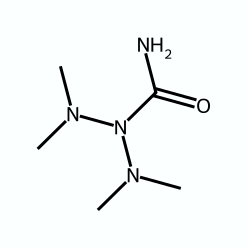 CN(C)N(C(N)=O)N(C)C